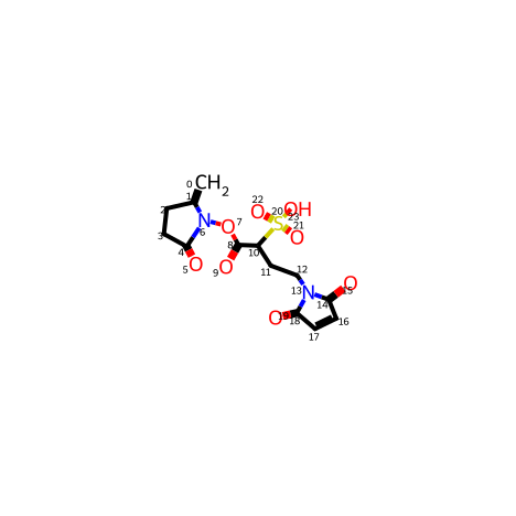 C=C1CCC(=O)N1OC(=O)C(CCN1C(=O)C=CC1=O)S(=O)(=O)O